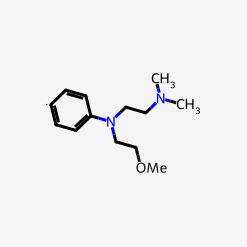 COCCN(CCN(C)C)c1cc[c]cc1